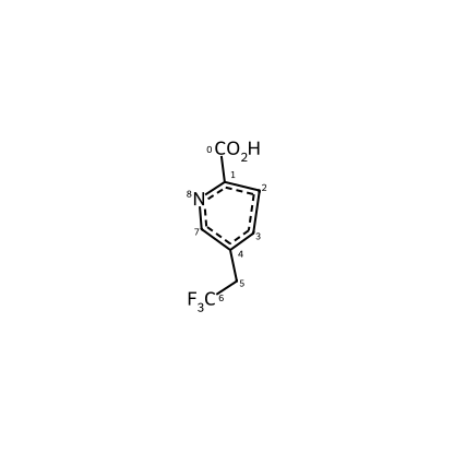 O=C(O)c1ccc(CC(F)(F)F)cn1